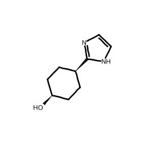 O[C@H]1CC[C@@H](c2ncc[nH]2)CC1